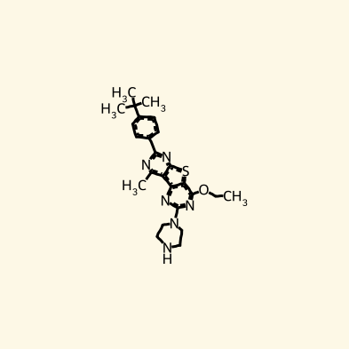 CCOc1nc(N2CCNCC2)nc2c1sc1nc(-c3ccc(C(C)(C)C)cc3)nc(C)c12